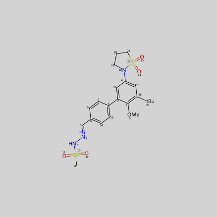 COc1c(-c2ccc(/C=N/NS(C)(=O)=O)cc2)cc(N2CCCS2(=O)=O)cc1C(C)(C)C